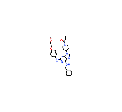 C=CC(=O)N1CCC(n2cnc3c(NCc4ccccc4)nc(Nc4ccc(OCCOC)cc4)nc32)CC1